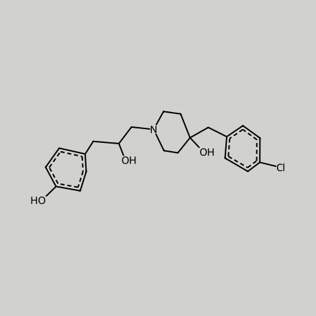 Oc1ccc(CC(O)CN2CCC(O)(Cc3ccc(Cl)cc3)CC2)cc1